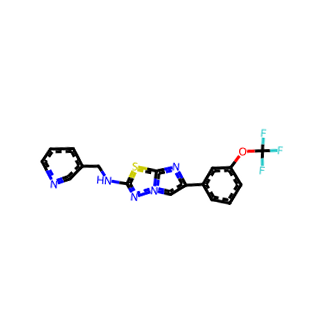 FC(F)(F)Oc1cccc(-c2cn3nc(NCc4cccnc4)sc3n2)c1